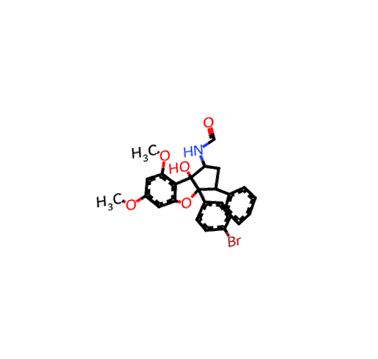 COc1cc(OC)c2c(c1)OC1(c3ccc(Br)cc3)C(c3ccccc3)CC(NC=O)C21O